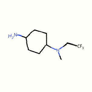 CN(CC(F)(F)F)C1CCC(N)CC1